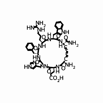 N=C(N)NCCC[C@@H]1NC(=O)[C@@H](Cc2ccccc2)NC(=O)[C@H](Cc2c[nH]cn2)NC(=O)[C@H](CCC(=O)O)NC(=O)[C@@H](N)CSSC[C@@H](C(N)=O)NC(=O)[C@H](Cc2c[nH]c3ccccc23)NC1=O